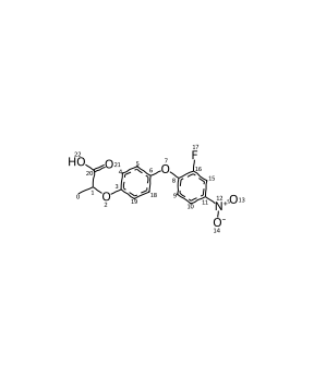 CC(Oc1ccc(Oc2ccc([N+](=O)[O-])cc2F)cc1)C(=O)O